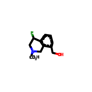 O=C(O)N1Cc2c(CO)cccc2C(F)C1